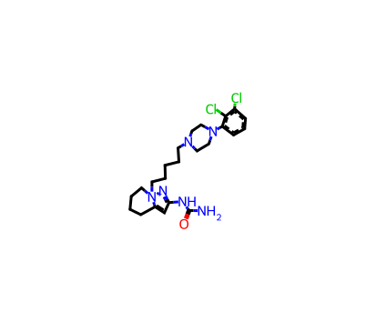 NC(=O)NC1=N[N+]2(CCCCCN3CCN(c4cccc(Cl)c4Cl)CC3)CCCCC2=C1